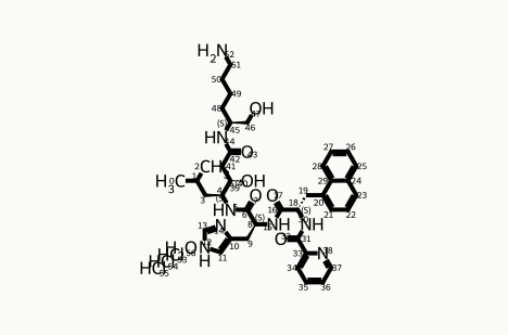 CC(C)C[C@H](NC(=O)[C@H](Cc1c[nH]cn1)NC(=O)[C@H](Cc1cccc2ccccc12)NC(=O)c1ccccn1)[C@@H](O)CC(=O)N[C@H](CO)CCCCN.Cl.Cl.Cl.O